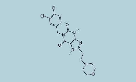 Cn1c(CCN2CCOCC2)nc2c1c(=O)n(Cc1ccc(Cl)c(Cl)c1)c(=O)n2C